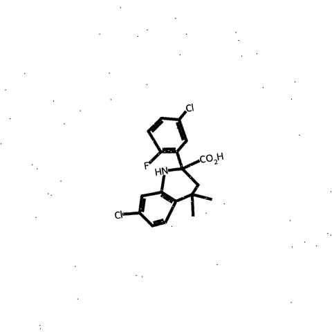 CC1(C)CC(C(=O)O)(c2cc(Cl)ccc2F)Nc2cc(Cl)ccc21